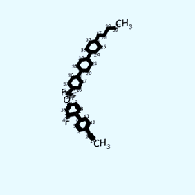 CC#Cc1ccc(-c2ccc(OC(F)(F)C3CCC(C4CCC(C5CCC(CCCCC)CC5)CC4)CC3)cc2F)cc1